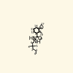 CCCC(C)(C)CNNC(=O)c1cccc(OC)c1C